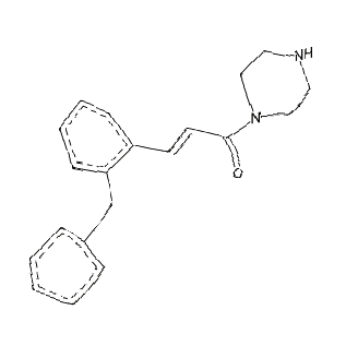 O=C(C=Cc1ccccc1Cc1ccccc1)N1CCNCC1